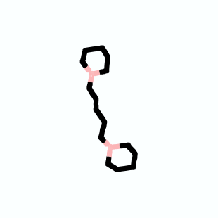 C1CCB(CCCCCB2CCCCC2)CC1